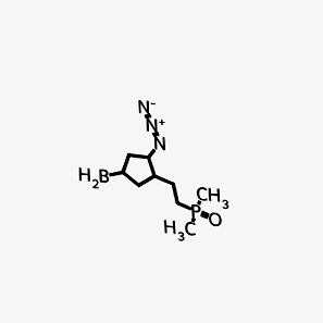 BC1CC(CCP(C)(C)=O)C(N=[N+]=[N-])C1